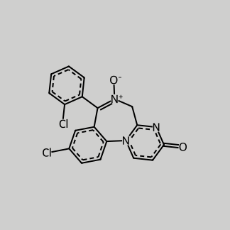 O=c1ccn2c(n1)C[N+]([O-])=C(c1ccccc1Cl)c1cc(Cl)ccc1-2